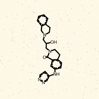 O=C1c2cc(Nc3ccnnc3)ccc2CCN1CC(O)CN1CCc2ccccc2C1